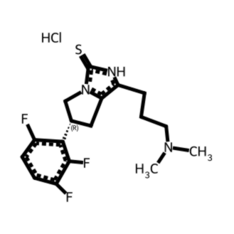 CN(C)CCCc1[nH]c(=S)n2c1C[C@H](c1c(F)ccc(F)c1F)C2.Cl